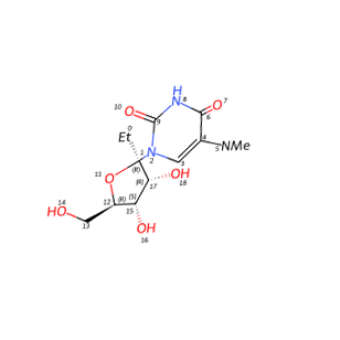 CC[C@@]1(n2cc(NC)c(=O)[nH]c2=O)O[C@H](CO)[C@@H](O)[C@H]1O